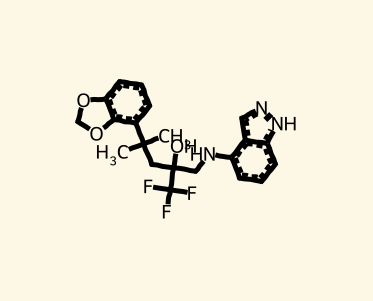 CC(C)(CC(O)(CNc1cccc2[nH]ncc12)C(F)(F)F)c1cccc2c1OCO2